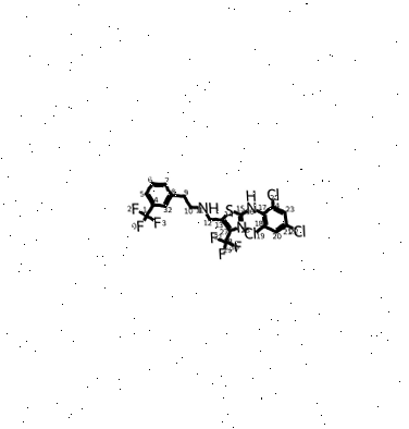 FC(F)(F)c1cccc(CCNCc2sc(Nc3c(Cl)cc(Cl)cc3Cl)nc2C(F)(F)F)c1